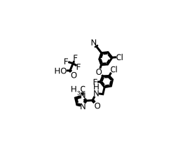 Cn1ccnc1C(=O)NCc1ccc(Cl)c(Oc2cc(Cl)cc(C#N)c2)c1F.O=C(O)C(F)(F)F